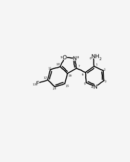 Nc1ccncc1-c1noc2cc(F)ccc12